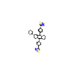 c1ccc(-c2ccc3c(-c4ccc(-c5cscn5)cc4)c4ccccc4c(-c4ccc(-c5cscn5)cc4)c3c2)cc1